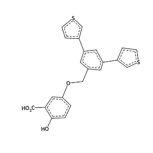 O=C(O)c1cc(OCc2cc(-c3ccsc3)cc(-c3ccsc3)c2)ccc1O